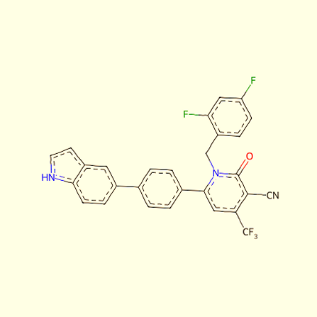 N#Cc1c(C(F)(F)F)cc(-c2ccc(-c3ccc4[nH]ccc4c3)cc2)n(Cc2ccc(F)cc2F)c1=O